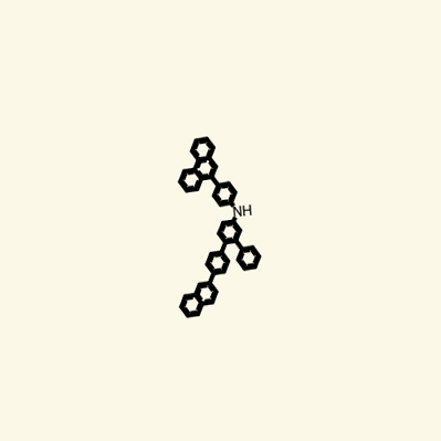 c1ccc(-c2cc(Nc3ccc(-c4cc5ccccc5c5ccccc45)cc3)ccc2-c2ccc(-c3ccc4ccccc4c3)cc2)cc1